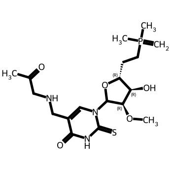 C=P(C)(C)CC[C@H]1OC(n2cc(CNCC(C)=O)c(=O)[nH]c2=S)[C@H](OC)[C@@H]1O